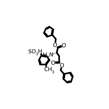 Cc1ccc(S(=O)(=O)O)cc1.N[C@@H](CC(=O)OCc1ccccc1)C(=O)OCc1ccccc1